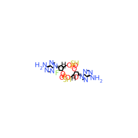 Nc1ncnc2c1ncn2[C@@H]1C[C@@H]2COP(=O)(S)OC3C[C@H](n4cnc5c(N)ncnc54)O[C@@H]3COP(=O)(S)OC2C1F